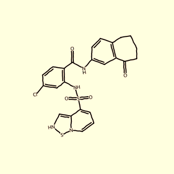 O=C1CCCCc2ccc(NC(=O)c3ccc(Cl)cc3NS(=O)(=O)C3=CC=CN4SNC=C34)cc21